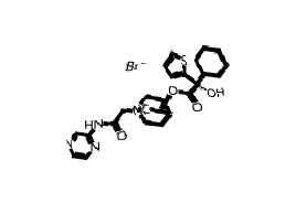 O=C(C[N+]12CCC(CC1)C(OC(=O)[C@@](O)(c1cccs1)C1CCCCC1)C2)Nc1cnccn1.[Br-]